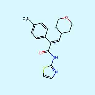 O=C(Nc1nccs1)/C(=C/C1CCOCC1)c1ccc([N+](=O)[O-])cc1